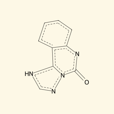 O=c1nc2ccccc2c2[nH]cnn12